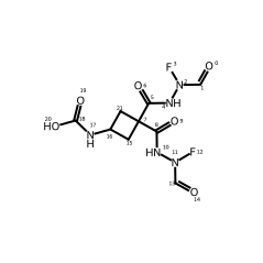 O=CN(F)NC(=O)C1(C(=O)NN(F)C=O)CC(NC(=O)O)C1